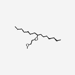 CCCCCCCC(CCCCCCC)OCCOC